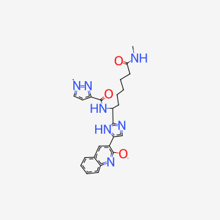 CNC(=O)CCCCCC(NC(=O)c1ccn(C)n1)c1ncc(-c2cc3ccccc3nc2OC)[nH]1